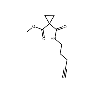 C#CCCCNC(=O)C1(C(=O)OC)CC1